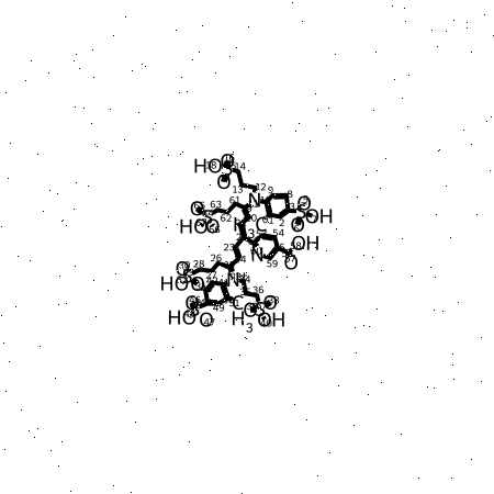 Cc1cc(S(=O)(=O)O)ccc1N(CCCS(=O)(=O)O)/C(=C/C=C(/C=C/C(CCCS(=O)(=O)O)=[N+](\CCCS(=O)(=O)O)c1ccc(S(=O)(=O)O)cc1C)c1ccc(C(=O)O)cn1)CCCS(=O)(=O)O